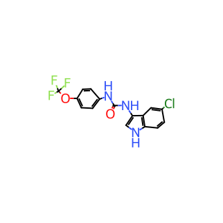 O=C(Nc1ccc(OC(F)(F)F)cc1)Nc1c[nH]c2ccc(Cl)cc12